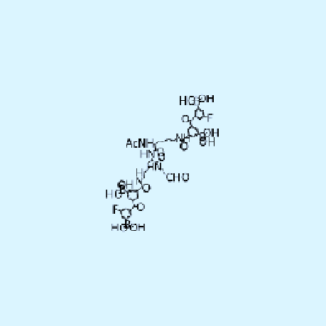 CC(=O)NC(CCCCNC(=O)c1cc(B(O)O)cc(C(=O)c2cc(F)cc(B(O)O)c2)c1)C(=O)NC(CCCCNC(=O)c1cc(B(O)O)cc(C(=O)c2cc(F)cc(B(O)O)c2)c1)C(=O)NCCC=O